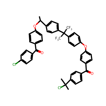 CC(Oc1ccc(C(=O)c2ccc(Cl)cc2)cc1)c1ccc(C(c2ccc(Oc3ccc(C(=O)c4ccc(C(C)(C)Cl)cc4)cc3)cc2)(C(F)(F)F)C(F)(F)F)cc1